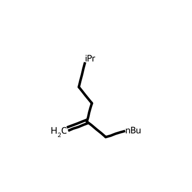 [CH2]CCCCC(=C)CCC(C)C